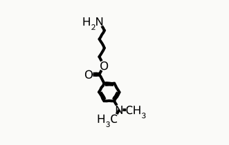 CN(C)c1ccc(C(=O)OCCCCN)cc1